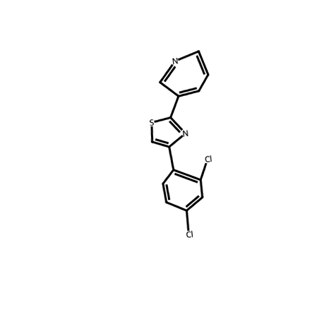 Clc1ccc(-c2csc(-c3cccnc3)n2)c(Cl)c1